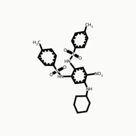 Cc1ccc(S(=O)(=O)Nc2cc(NC3CCCCC3)c([N+](=O)[O-])cc2NS(=O)(=O)c2ccc(C)cc2)cc1